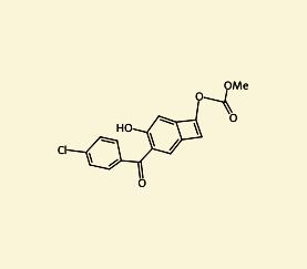 COC(=O)OC1=Cc2cc(C(=O)c3ccc(Cl)cc3)c(O)cc21